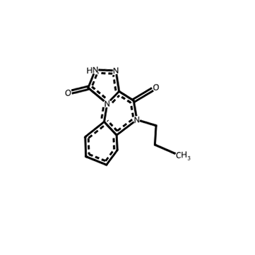 CCCn1c(=O)c2n[nH]c(=O)n2c2ccccc21